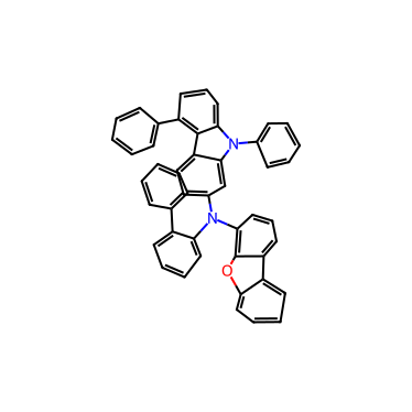 c1ccc(-c2ccccc2N(c2ccc3c4c(-c5ccccc5)cccc4n(-c4ccccc4)c3c2)c2cccc3c2oc2ccccc23)cc1